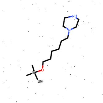 CC(C)(C)[Si](C)(C)OCCCCCCN1CCNCC1